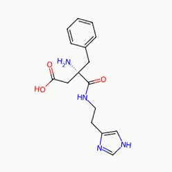 N[C@](CC(=O)O)(Cc1ccccc1)C(=O)NCCc1c[nH]cn1